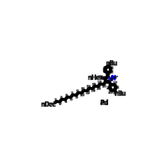 CCCCCCCCCCCCCCCCCCCCCCCCCCCCC1=C(c2ccc(CCCC)cc2)[N+](=[N-])C(c2ccc(CCCC)cc2)=C1CCCCCC.[Pd]